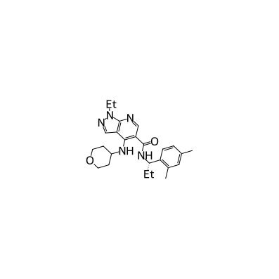 CC[C@H](NC(=O)c1cnc2c(cnn2CC)c1NC1CCOCC1)c1ccc(C)cc1C